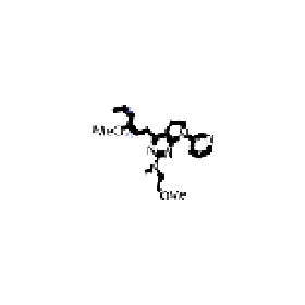 C/C=C\C(=C/Cc1nc(N(C)CCOC)nc2c1CCN2c1cccnc1)OC